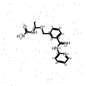 CC(NC(N)=O)OCc1cccc(C(=N)Nc2ccccn2)c1